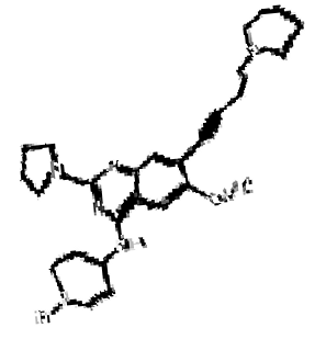 COc1cc2c(NC3CCN(C(C)C)CC3)nc(N3CCCC3)nc2cc1C#CCCN1CCCC1